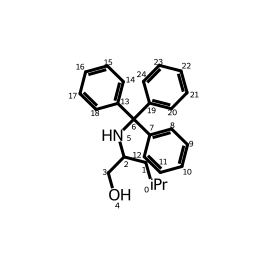 CC(C)CC(CO)NC(c1ccccc1)(c1ccccc1)c1ccccc1